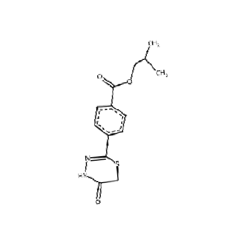 CC(C)COC(=O)c1ccc(C2=NNC(=O)CS2)cc1